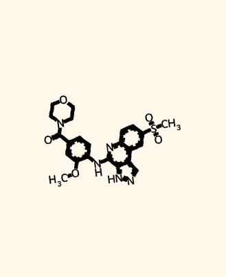 COc1cc(C(=O)N2CCOCC2)ccc1Nc1nc2ccc(S(C)(=O)=O)cc2c2cn[nH]c12